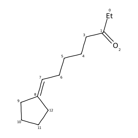 CCC(=O)CCCCC=C1CCCC1